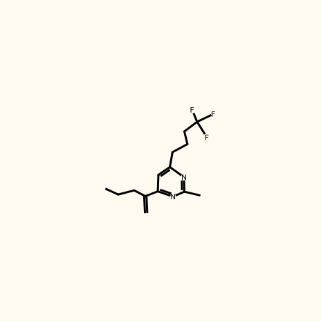 C=C(CCC)c1cc(CCCC(F)(F)F)nc(C)n1